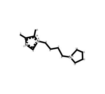 Cc1n[c]n(CCCCN2CCCC2)c1C